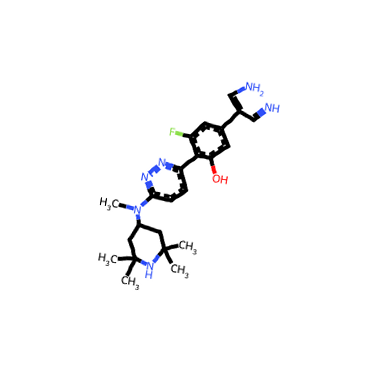 CN(c1ccc(-c2c(O)cc(/C(C=N)=C/N)cc2F)nn1)C1CC(C)(C)NC(C)(C)C1